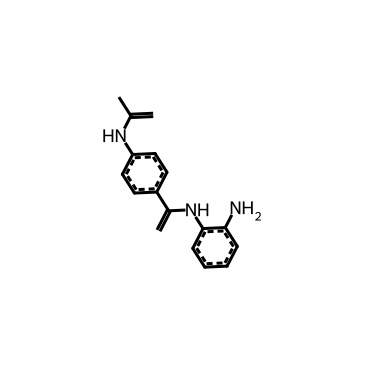 C=C(C)Nc1ccc(C(=C)Nc2ccccc2N)cc1